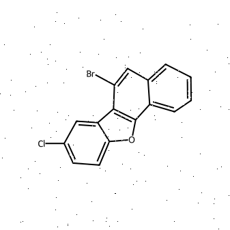 Clc1ccc2oc3c4ccccc4cc(Br)c3c2c1